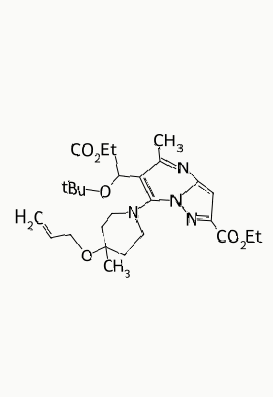 C=CCOC1(C)CCN(c2c(C(OC(C)(C)C)C(=O)OCC)c(C)nc3cc(C(=O)OCC)nn23)CC1